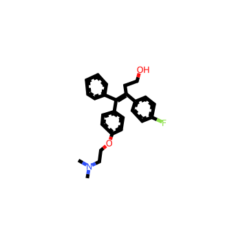 CN(C)CCOc1ccc(/C(=C(/CCO)c2ccc(F)cc2)c2ccccc2)cc1